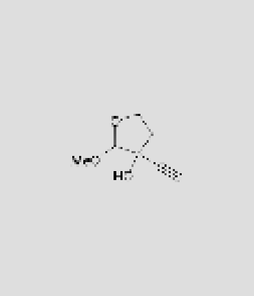 C#CC1(O)CCOC1OC